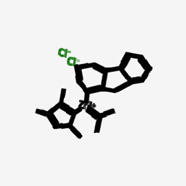 CC1=CC(C)[C]([Zr+2](=[C](C)C)[c]2cccc3c2Cc2ccccc2-3)=C1C.[Cl-].[Cl-]